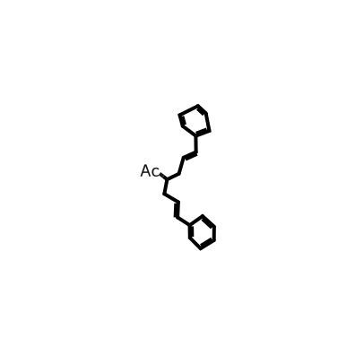 CC(=O)C(CC=Cc1ccccc1)CC=Cc1ccccc1